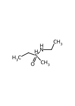 CCN[SH](C)(=O)CC